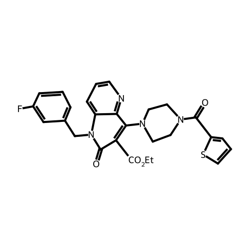 CCOC(=O)c1c(N2CCN(C(=O)c3cccs3)CC2)c2ncccc2n(Cc2cccc(F)c2)c1=O